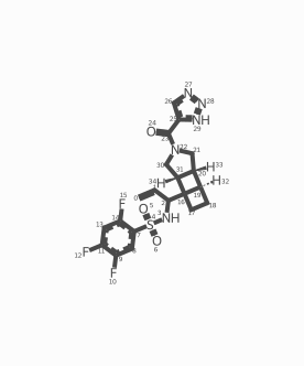 C=CC(NS(=O)(=O)c1cc(F)c(F)cc1F)C12CC[C@@H]1[C@H]1CN(C(=O)c3cnn[nH]3)C[C@H]12